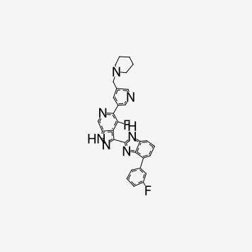 Fc1cccc(-c2cccc3[nH]c(-c4n[nH]c5cnc(-c6cncc(CN7CCCCC7)c6)c(F)c45)nc23)c1